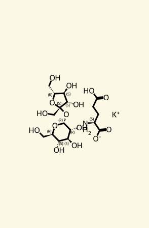 N[C@@H](CCC(=O)O)C(=O)[O-].OC[C@H]1O[C@@](CO)(O[C@H]2O[C@H](CO)[C@@H](O)[C@H](O)[C@H]2O)[C@@H](O)[C@@H]1O.[K+]